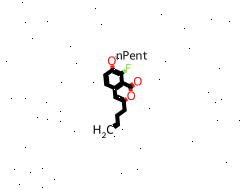 C=CCCc1cc2ccc(OCCCCC)c(F)c2c(=O)o1